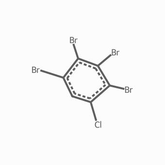 Clc1cc(Br)c(Br)c(Br)c1Br